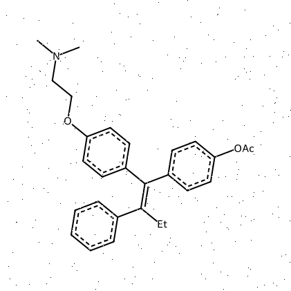 CCC(=C(c1ccc(OCCN(C)C)cc1)c1ccc(OC(C)=O)cc1)c1ccccc1